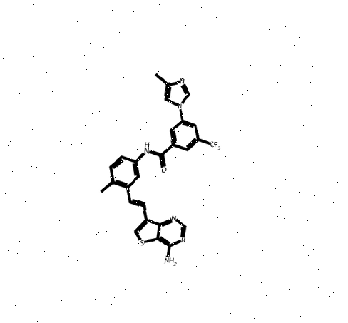 Cc1cn(-c2cc(C(=O)Nc3ccc(C)c(/C=C/c4csc5c(N)ncnc45)c3)cc(C(F)(F)F)c2)cn1